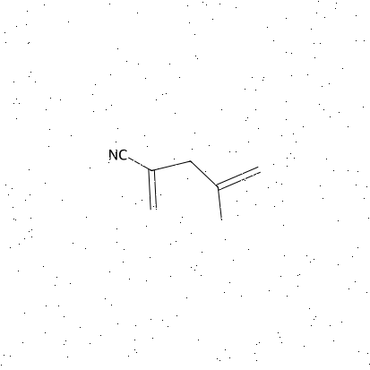 C=C(C)CC(=C)C#N